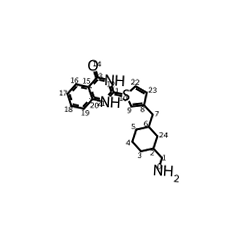 NCC1CCCC(CC2=CS(=c3[nH]c(=O)c4ccccc4[nH]3)C=C2)C1